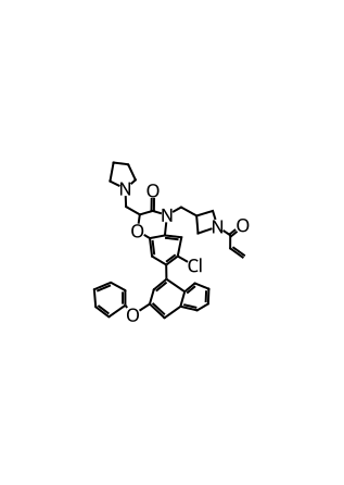 C=CC(=O)N1CC(CN2C(=O)C(CN3CCCC3)Oc3cc(-c4cc(Oc5ccccc5)cc5ccccc45)c(Cl)cc32)C1